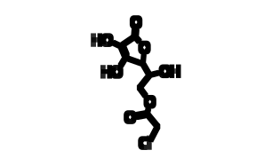 O=C(CCl)OCC(O)C1OC(=O)C(O)=C1O